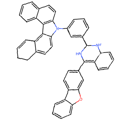 C1=CC2=C(c3ccc4c(c3)oc3ccccc34)NC(c3cccc(-n4c5ccc6c(c5c5c7ccccc7ccc54)C=CCC6)c3)NC2C=C1